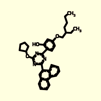 CCCCC(CC)COc1ccc(-c2nc(OC3CCCC3)nc(-c3cc4ccccc4c4ccccc34)n2)c(O)c1